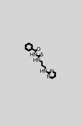 O=C(NC(=S)NCCCNc1ncccn1)c1ccccc1